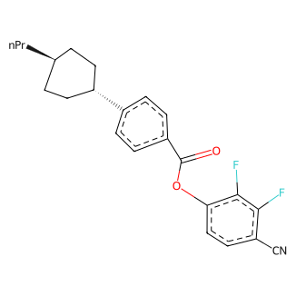 CCC[C@H]1CC[C@H](c2ccc(C(=O)Oc3ccc(C#N)c(F)c3F)cc2)CC1